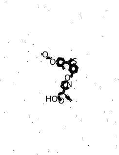 CC#C[C@@H](CC(=O)O)c1ccc(OCc2ccc3scc(-c4ccc(OCCOC)cc4C)c3c2)nc1